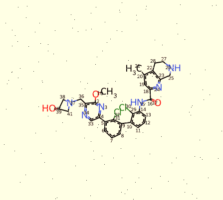 COc1nc(-c2cccc(-c3cccc(NC(=O)c4cc(C)c5c(n4)CNCC5)c3Cl)c2Cl)cnc1CN1CC(O)C1